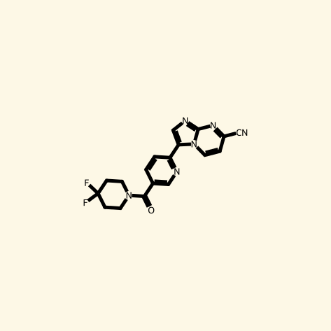 N#Cc1ccn2c(-c3ccc(C(=O)N4CCC(F)(F)CC4)cn3)cnc2n1